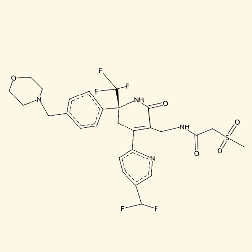 CS(=O)(=O)CC(=O)NCC1=C(c2ccc(C(F)F)cn2)C[C@@](c2ccc(CN3CCOCC3)cc2)(C(F)(F)F)NC1=O